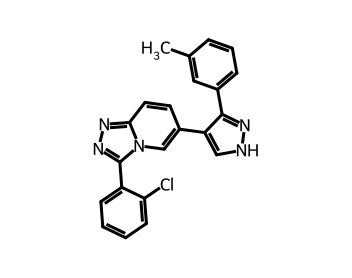 Cc1cccc(-c2n[nH]cc2-c2ccc3nnc(-c4ccccc4Cl)n3c2)c1